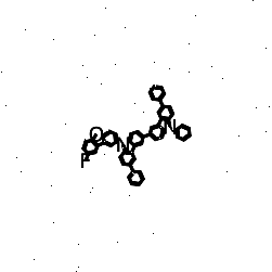 Fc1ccc2oc3ccc(-n4c5ccc(-c6ccccc6)cc5c5cc(-c6ccc7c(c6)c6cc(-c8ccccc8)ccc6n7-c6ccccc6)ccc54)cc3c2c1